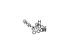 O=C(CCN1CCC(N2CCCCC2)CC1)CSc1c(-c2cc(Cl)ccc2O)c2cc(C(F)(F)F)ccc2[nH]c1=O